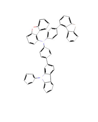 c1ccc(-n2c3ccccc3c3ccc(-c4ccc(N(c5ccc(-c6cccc7sc8ccccc8c67)cc5)c5cccc6oc7ccccc7c56)cc4)cc32)cc1